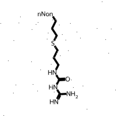 CCCCCCCCCCCCSCCCNC(=O)NC(=N)N